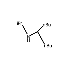 CCCCC(BC(C)C)CCCC